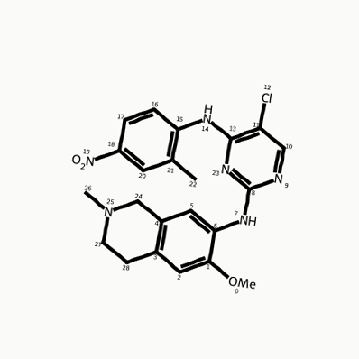 COc1cc2c(cc1Nc1ncc(Cl)c(Nc3ccc([N+](=O)[O-])cc3C)n1)CN(C)CC2